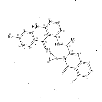 C=C1c2c(F)cccc2N=C(C(CC)Nc2ncnc(N)c2C(=N)c2ccc(CC)nc2)N1C1CC1